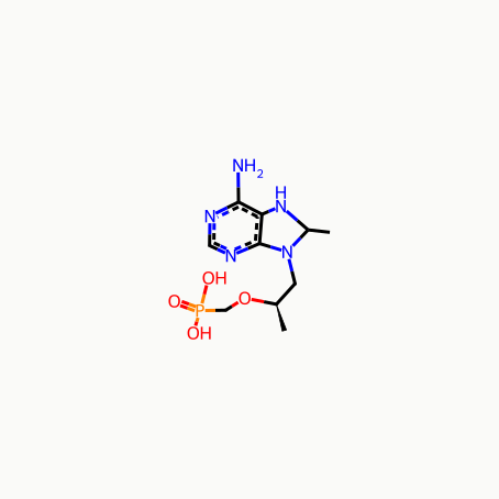 CC1Nc2c(N)ncnc2N1C[C@@H](C)OCP(=O)(O)O